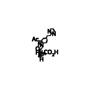 CC(=O)c1nn(CC(=O)N2[C@@H]3C[C@@H]3C[C@H]2C(=O)O)c2ccc(CCc3ncccn3)cc12